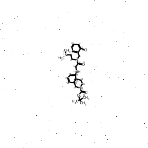 CN(C)CCN(Cc1ccccc1Cl)C(=O)CNc1cccc2c1CCN(C(=O)OC(C)(C)C)C2